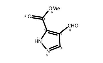 COC(=O)c1[nH]ncc1C=O